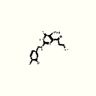 CCCCCc1c(C(=N)CCO)nc(NCc2ccc(Cl)c(Cl)c2)[nH]c1=O